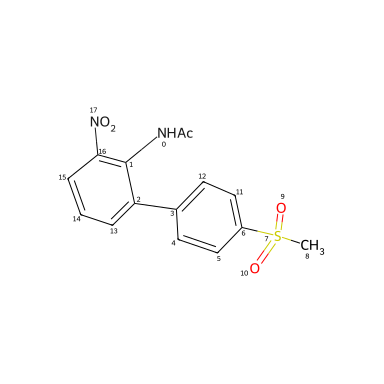 CC(=O)Nc1c(-c2ccc(S(C)(=O)=O)cc2)cccc1[N+](=O)[O-]